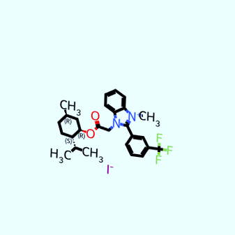 CC(C)[C@@H]1CC[C@@H](C)C[C@H]1OC(=O)Cn1c(-c2cccc(C(F)(F)F)c2)[n+](C)c2ccccc21.[I-]